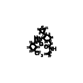 O=C(Cc1ccc(-c2ccsc2)c(NC(=O)Nc2cccc(C(F)(F)F)c2)c1)NC1CC1